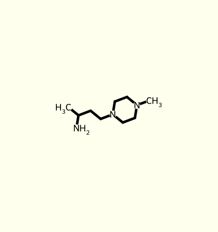 CC(N)CCN1CCN(C)CC1